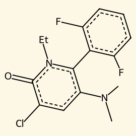 CCn1c(-c2c(F)cccc2F)c(N(C)C)cc(Cl)c1=O